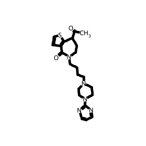 CC(=O)C1CCN(CCCCN2CCN(c3ncccn3)CC2)C(=O)c2ccsc21